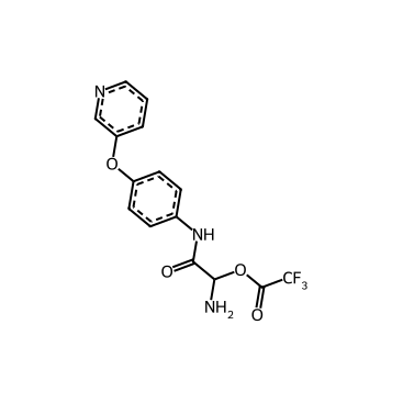 NC(OC(=O)C(F)(F)F)C(=O)Nc1ccc(Oc2cccnc2)cc1